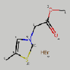 Br.COC(=O)CN1C=C(C)SC1